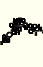 CCn1nc(C(=O)NCC2(O)CCC(S(C)(=O)=O)CC2)c(Cl)c1-c1cnc(OCC(C)(C)C(F)(F)F)cc1OC